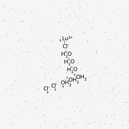 O.O.O.O.O.O.[Cl-].[Cl-].[Cl-].[Lu+3]